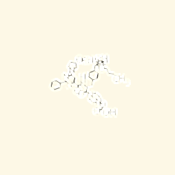 CCCCOP(=O)(O)Cc1ccc(C[C@H](NC(=O)c2cc(N3CC[C@H](OC)C3)nc(-c3ccccc3)n2)C(=O)N2CCN(OC(=O)O)CC2)cc1